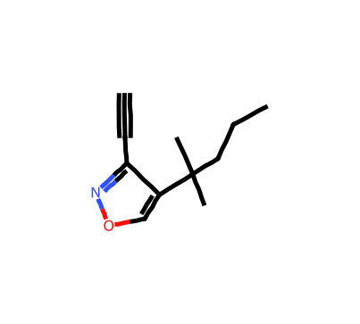 C#Cc1nocc1C(C)(C)CCC